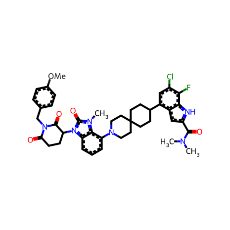 COc1ccc(CN2C(=O)CCC(n3c(=O)n(C)c4c(N5CCC6(CCC(c7cc(Cl)c(F)c8[nH]c(C(=O)N(C)C)cc78)CC6)CC5)cccc43)C2=O)cc1